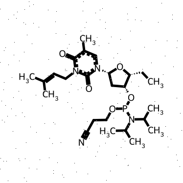 CC[C@H]1O[C@@H](n2cc(C)c(=O)n(CC=C(C)C)c2=O)C[C@H]1OP(OCCC#N)N(C(C)C)C(C)C